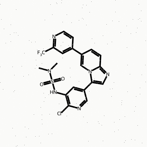 CN(C)S(=O)(=O)Nc1cc(-c2cnc3ccc(-c4ccnc(C(F)(F)F)c4)cn23)cnc1Cl